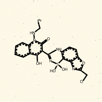 CC(C)CNn1c(=O)c(C2=NS(O)(O)c3c(ccc4oc(CCl)nc34)N2)c(O)c2ccccc21